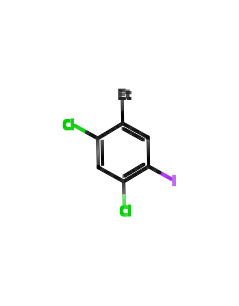 CCc1cc(I)c(Cl)cc1Cl